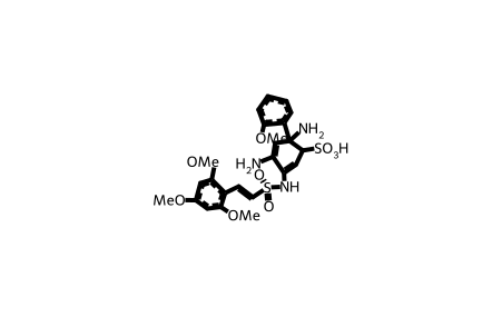 COc1cc(OC)c(/C=C/S(=O)(=O)NC2=CC(S(=O)(=O)O)C(N)(c3ccccc3OC)C=C2N)c(OC)c1